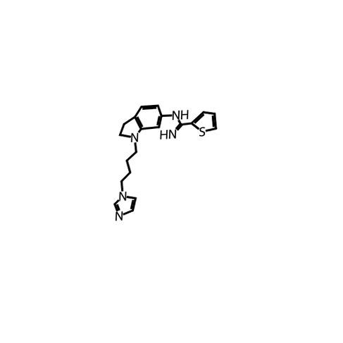 N=C(Nc1ccc2c(c1)N(CCCCn1ccnc1)CC2)c1cccs1